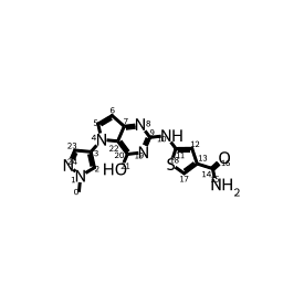 Cn1cc(-n2ccc3nc(Nc4cc(C(N)=O)cs4)nc(O)c32)cn1